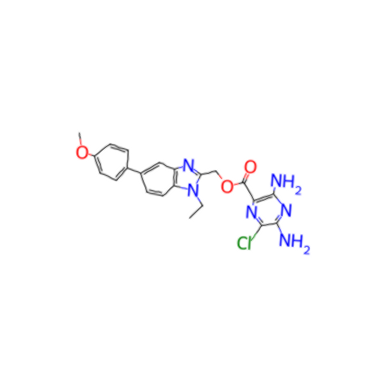 CCn1c(COC(=O)c2nc(Cl)c(N)nc2N)nc2cc(-c3ccc(OC)cc3)ccc21